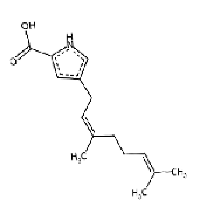 CC(C)=CCCC(C)=CCc1c[nH]c(C(=O)O)c1